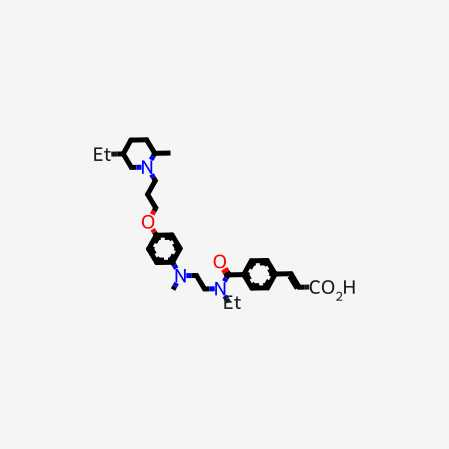 CCC1CCC(C)N(CCCOc2ccc(N(C)CCN(CC)C(=O)c3ccc(/C=C/C(=O)O)cc3)cc2)C1